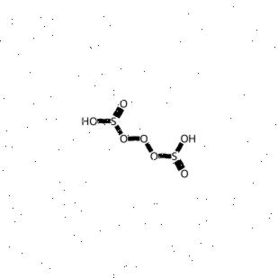 O=S(O)OOOS(=O)O